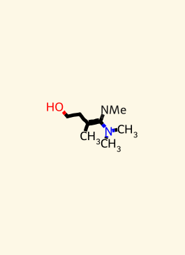 CNC(=C(C)CCO)N(C)C